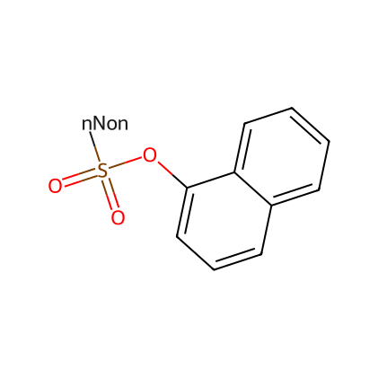 CCCCCCCCCS(=O)(=O)Oc1cccc2ccccc12